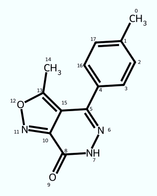 Cc1ccc(-c2n[nH]c(=O)c3noc(C)c23)cc1